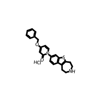 Cl.O=c1cc(OCc2ccccc2)ccn1-c1ccc2c3c(sc2c1)CCNCC3